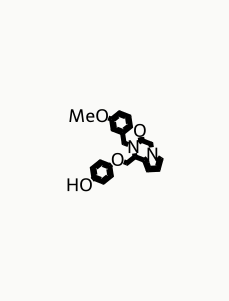 COc1cccc(CN2C(=O)Cn3cccc3C2COc2ccc(O)cc2)c1